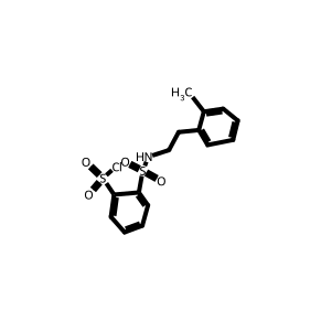 Cc1ccccc1CCNS(=O)(=O)c1ccccc1S(=O)(=O)Cl